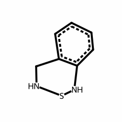 c1ccc2c(c1)CNSN2